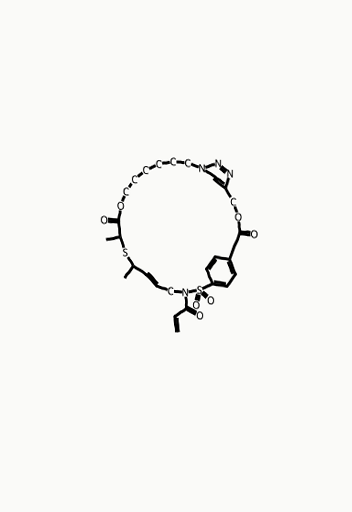 C=CC(=O)N1C/C=C/C(C)SC(C)C(=O)OCCCCCCn2cc(nn2)COC(=O)c2ccc(cc2)S1(=O)=O